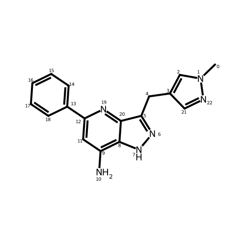 Cn1cc(Cc2n[nH]c3c(N)cc(-c4ccccc4)nc23)cn1